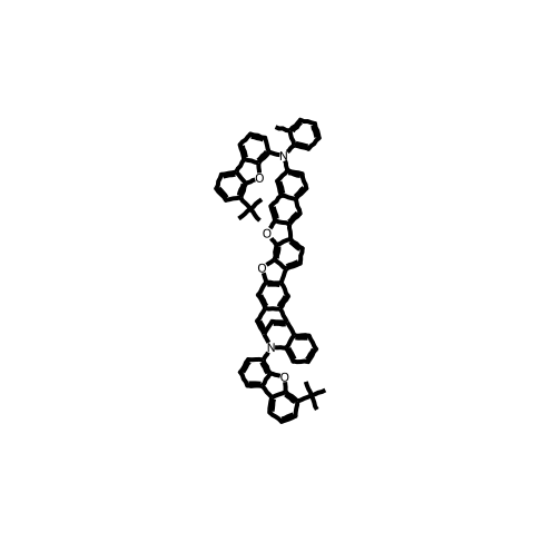 Cc1ccccc1N(c1ccc2cc3c(cc2c1)oc1c3ccc2c3cc4c5cc(cc4cc3oc21)N(c1cccc2c1oc1c(C(C)(C)C)cccc12)c1ccccc1-5)c1cccc2c1oc1c(C(C)(C)C)cccc12